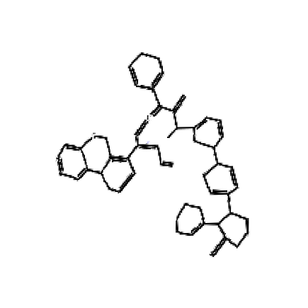 C=C/C=C(/C=C=C(C(=C)C(C)C1=CC=CC(C2C=CC(C3CCCC(=C)C3C3=CCCCC3)=CC2)C1)C1=CCCC=C1)C1=C2CSc3ccccc3C2CC=C1